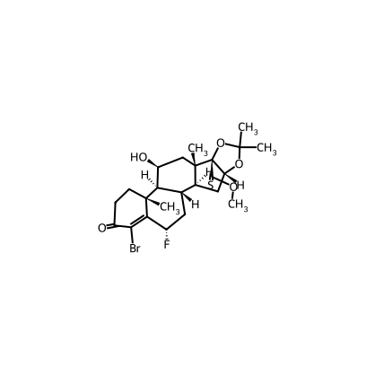 COC(=S)[C@@]12OC(C)(C)O[C@@H]1C[C@H]1[C@@H]3C[C@H](F)C4=C(Br)C(=O)CC[C@]4(C)[C@H]3[C@@H](O)C[C@@]12C